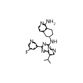 CC(C)c1cnn2c(N[C@@H]3CCc4c(ccnc4N)C3)nc(-c3cncc(F)c3)nc12